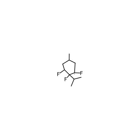 CC1C[C](F)C(F)(C(C)C)C(F)C1